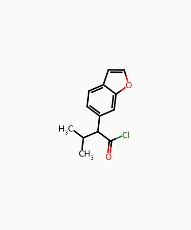 CC(C)C(C(=O)Cl)c1ccc2ccoc2c1